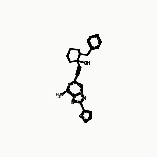 Nc1nc(C#CC2(O)CCCCC2Cc2ccccc2)cn2nc(-c3ccco3)nc12